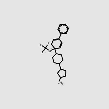 CC1CCC(C2CCC(C3(OC(F)(F)F)C=CC(c4ccccc4)=CC3)CC2)C1